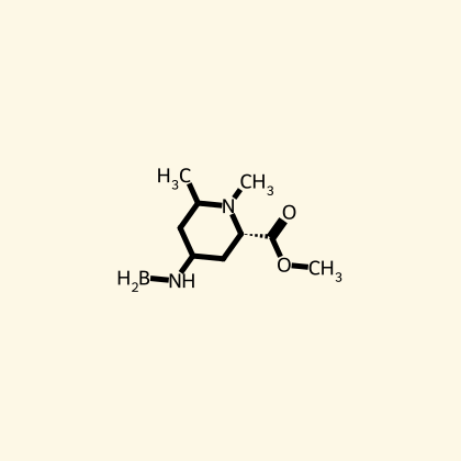 BNC1CC(C)N(C)[C@H](C(=O)OC)C1